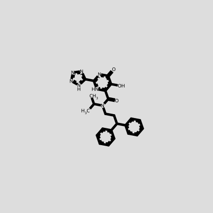 CC(C)N(CCC(c1ccccc1)c1ccccc1)C(=O)c1[nH]c(-c2nnn[nH]2)nc(=O)c1O